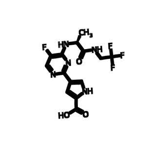 C[C@H](Nc1nc(-c2c[nH]c(C(=O)O)c2)ncc1F)C(=O)NCC(F)(F)F